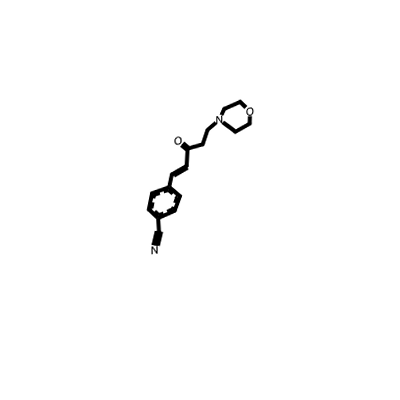 N#Cc1ccc(C=CC(=O)CCN2CCOCC2)cc1